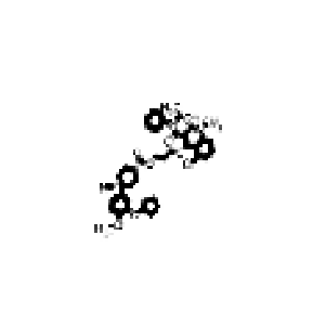 CCN(C(=O)C1=C(OCCCOC(=O)[C@H]2CC[C@](C#N)(c3ccc(OC)c(OC4CCCC4)c3)CC2)c2c(Cl)cccc2N(C)C1O)c1ccccc1